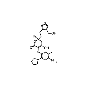 Cc1cc(SC2=C(O)CC(CCc3cscc3CO)(C(C)C)OC2=O)c(C2CCCC2)cc1N